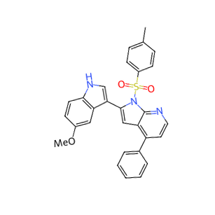 COc1ccc2[nH]cc(-c3cc4c(-c5ccccc5)ccnc4n3S(=O)(=O)c3ccc(C)cc3)c2c1